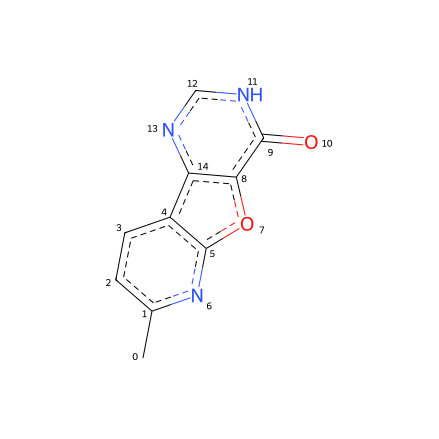 Cc1ccc2c(n1)oc1c(=O)[nH]cnc12